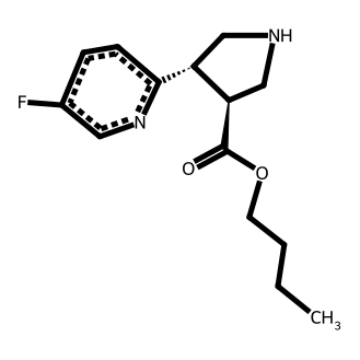 CCCCOC(=O)[C@@H]1CNC[C@H]1c1ccc(F)cn1